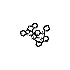 c1ccc(N(c2ccccc2)c2cccc3c4cccc5c6nc7c(nc6n(c23)c45)c2c3ccccc3cc3c4ccccc4n7c32)cc1